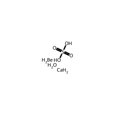 O.O=S(=O)(O)O.[BeH2].[CaH2]